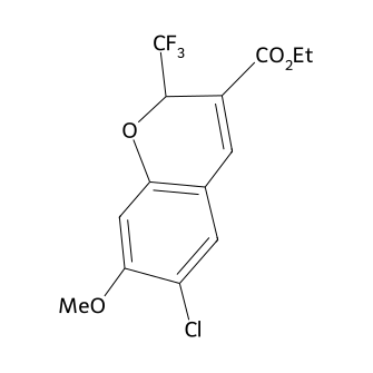 CCOC(=O)C1=Cc2cc(Cl)c(OC)cc2OC1C(F)(F)F